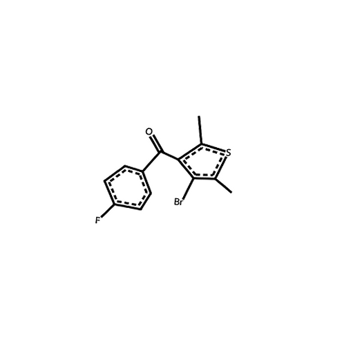 Cc1sc(C)c(C(=O)c2ccc(F)cc2)c1Br